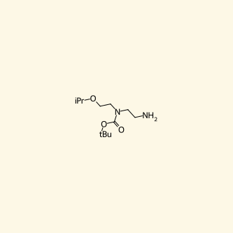 CC(C)OCCN(CCN)C(=O)OC(C)(C)C